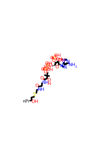 CCCC(O)CCSCCNC(=O)CCNC(=O)C(O)C(C)(C)COP(=O)(O)OP(=O)(O)OC[C@H]1O[C@@H](n2cnc3c(N)ncnc32)[C@H](O)[C@@H]1OP(=O)(O)O